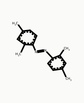 Cc1ccc(N=Nc2ccc(C)cc2C)c(C)c1